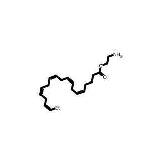 CC/C=C\C/C=C\C/C=C\C/C=C\C/C=C\CCCC(=O)OCCN